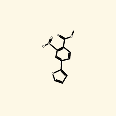 COC(=O)c1ccc(-c2ccco2)cc1[N+](=O)[O-]